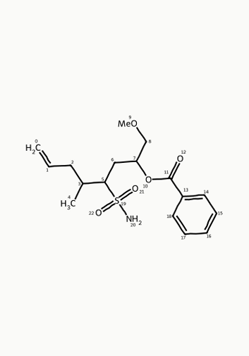 C=CCC(C)C(CC(COC)OC(=O)c1ccccc1)S(N)(=O)=O